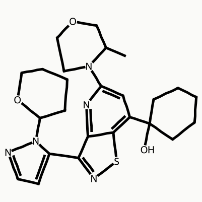 CC1COCCN1c1cc(C2(O)CCCCC2)c2snc(-c3ccnn3C3CCCCO3)c2n1